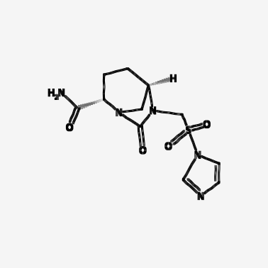 NC(=O)[C@@H]1CC[C@@H]2CN1C(=O)N2CS(=O)(=O)n1ccnc1